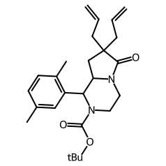 C=CCC1(CC=C)CC2C(c3cc(C)ccc3C)N(C(=O)OC(C)(C)C)CCN2C1=O